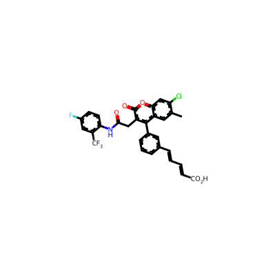 Cc1cc2c(-c3cccc(/C=C/C=C/C(=O)O)c3)c(CC(=O)Nc3ccc(F)cc3C(F)(F)F)c(=O)oc2cc1Cl